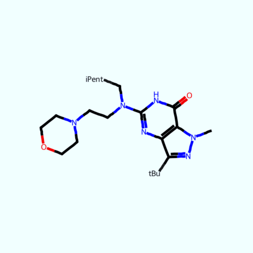 CCCC(C)CN(CCN1CCOCC1)c1nc2c(C(C)(C)C)nn(C)c2c(=O)[nH]1